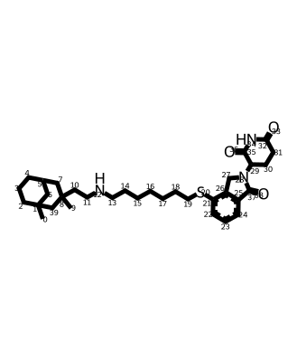 CC12CCCC(C1)CC(C)(CCNCCCCCCCSc1cccc3c1CN(C1CCC(=O)NC1=O)C3=O)C2